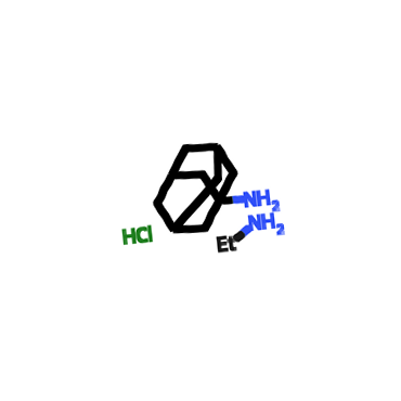 CCN.Cl.NC12CC3CC(CC(C3)C1)C2